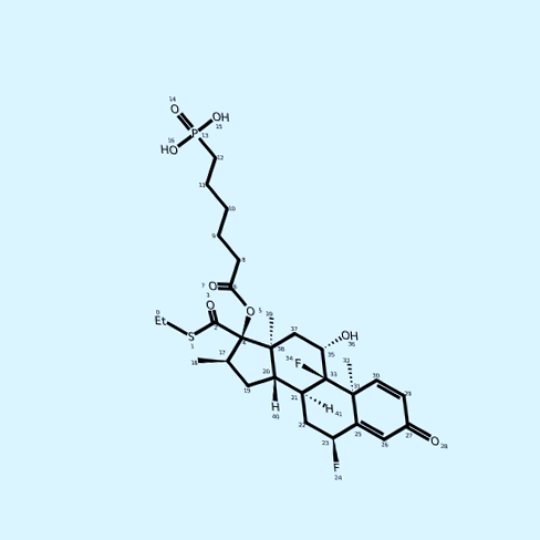 CCSC(=O)[C@@]1(OC(=O)CCCCCP(=O)(O)O)[C@H](C)C[C@H]2[C@@H]3C[C@H](F)C4=CC(=O)C=C[C@]4(C)[C@@]3(F)[C@@H](O)C[C@@]21C